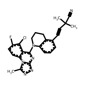 Cc1nnc2nc(N3CCCc4c(C#CC(C)(C)C#N)cccc43)c3c(Cl)c(F)ccc3n12